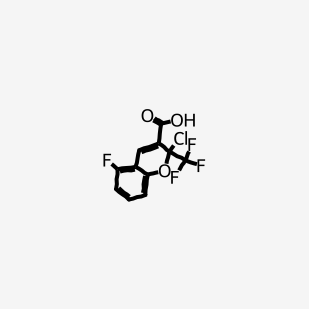 O=C(O)C1=Cc2c(F)cccc2OC1(Cl)C(F)(F)F